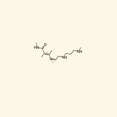 CNCCCNC/C=N\C(C)=C(/C)C(=O)NC